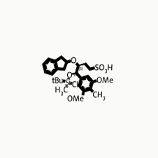 COc1cc([C@@H](O[Si](C)(C)C(C)(C)C)[C@H](CCS(=O)(=O)O)OC2Cc3ccccc3C2)cc(OC)c1C